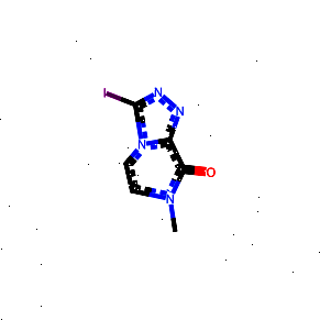 Cn1ccn2c(I)nnc2c1=O